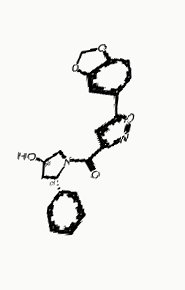 O=C(c1cc(-c2ccc3c(c2)OCO3)on1)N1C[C@H](O)C[C@H]1c1ccccc1